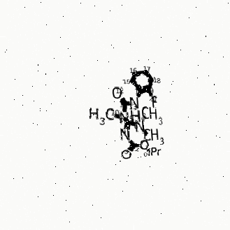 CC(C)OC(=O)N=C(N(C)C)N(C)C(=O)Nc1ccccc1F